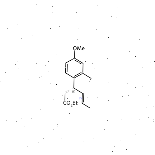 C/C=C/[C@H](CC(=O)OCC)c1ccc(OC)cc1C